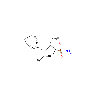 CCC1=CC(S(N)(=O)=O)C(C(=O)O)=C1c1ccccc1